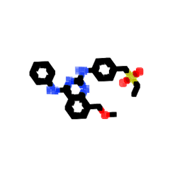 CCS(=O)(=O)Cc1ccc(Nc2nc(Nc3ccccc3)c3cccc(COC)c3n2)cc1